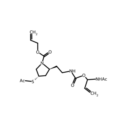 C=CCOC(=O)N1C[C@@H](SC(C)=O)C[C@@H]1CCNC(=O)OC(C=C)NC(C)=O